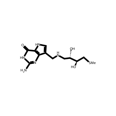 CSC[C@@H](O)[C@@H](O)CNCc1c[nH]c2c(=O)[nH]c(N)nc12